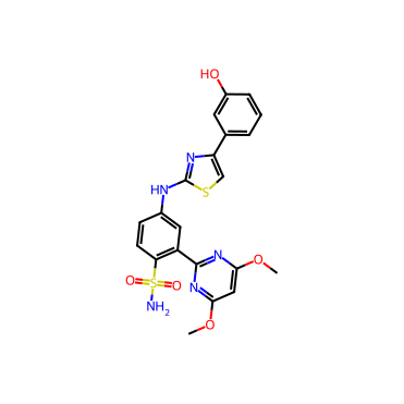 COc1cc(OC)nc(-c2cc(Nc3nc(-c4cccc(O)c4)cs3)ccc2S(N)(=O)=O)n1